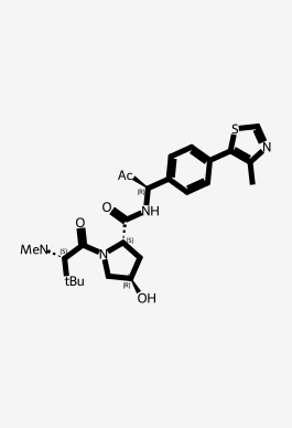 CN[C@H](C(=O)N1C[C@H](O)C[C@H]1C(=O)N[C@@H](C(C)=O)c1ccc(-c2scnc2C)cc1)C(C)(C)C